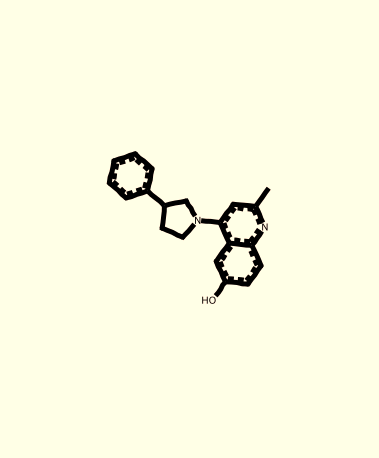 Cc1cc(N2CCC(c3ccccc3)C2)c2cc(O)ccc2n1